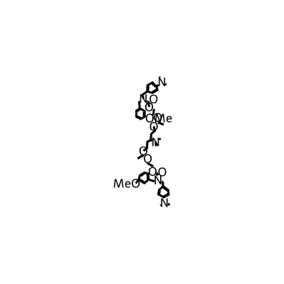 COc1cccc(CN(Cc2ccc(N(C)C)cc2)C(=O)OCCOC(C)OCCC(CCOC(C)OCCOC(=O)N(Cc2ccc(N(C)C)cc2)Cc2cccc(OC)c2)N(C)C)c1